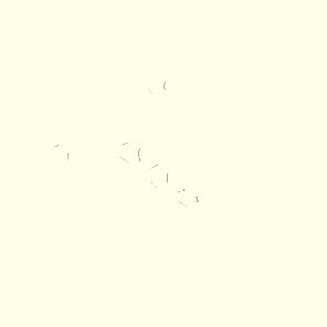 C=C(C)C(=O)OCCCc1cc(-c2ccc(-c3ccc(C4CCC(C5CCC(CCCCC)CC5)CC4)c(CC)c3)cc2CC)cc(CCCOC(=O)C(=C)C)c1OCCC(C)(CO)CO